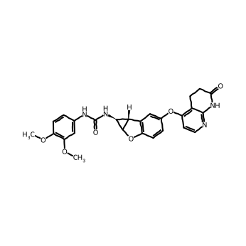 COc1ccc(NC(=O)N[C@@H]2C3Oc4ccc(Oc5ccnc6c5CCC(=O)N6)cc4[C@H]32)cc1OC